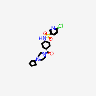 O=C([C@H]1CC[C@H](NS(=O)(=O)c2ccc(Cl)nc2)CC1)N1CCN(C2CCCC2)CC1